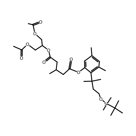 CC(=O)OCC(COC(C)=O)OC(=O)CC(C)CC(=O)Oc1cc(C)cc(C)c1C(C)(C)CCO[Si](C)(C)C(C)(C)C